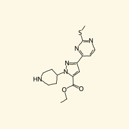 CCOC(=O)c1cc(-c2ccnc(SC)n2)nn1C1CCNCC1